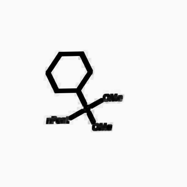 CCCCC[Si](OC)(OC)C1CCCCC1